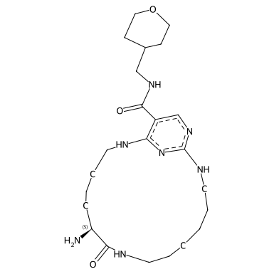 N[C@H]1CCCCNc2nc(ncc2C(=O)NCC2CCOCC2)NCCCCCCNC1=O